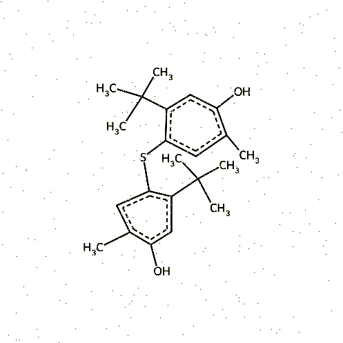 Cc1cc(Sc2cc(C)c(O)cc2C(C)(C)C)c(C(C)(C)C)cc1O